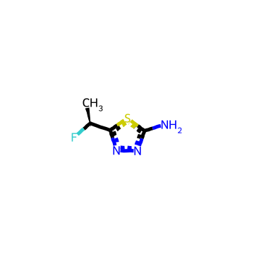 C[C@H](F)c1nnc(N)s1